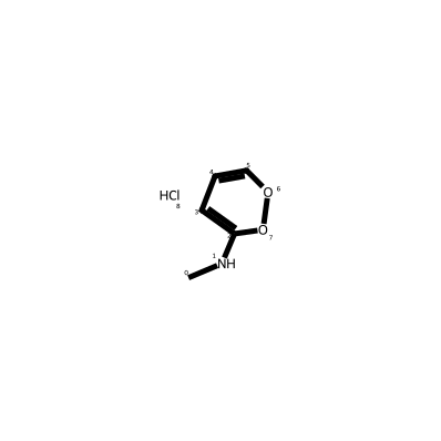 CNC1=CC=COO1.Cl